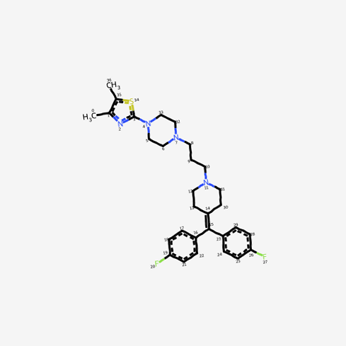 Cc1nc(N2CCN(CCCN3CCC(=C(c4ccc(F)cc4)c4ccc(F)cc4)CC3)CC2)sc1C